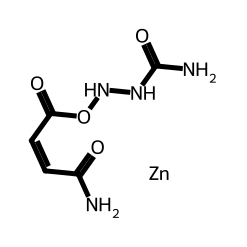 NC(=O)/C=C\C(=O)ONNC(N)=O.[Zn]